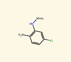 CC(=O)NNc1cc(Cl)ccc1[N+](=O)[O-]